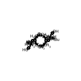 CC(C)CC1C(=O)OC(Cc2ccc(NC(=O)C(Cc3ccc(O)cc3)NC(=O)OC(C)(C)C)cc2)C(=O)N(C)C(CC(C)C)C(=O)OC(C)CN(C)C(CC(C)C)C(=O)OC(Cc2ccc(NC(=O)C(Cc3ccc(O)cc3)NC(=O)OC(C)(C)C)cc2)C(=O)N(C)C(CC(C)C)C(=O)OC(C)CN1C